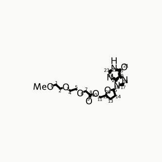 COCCOCCOCC(=O)OCC1CCC(n2cnc3c(=O)[nH]cnc32)O1